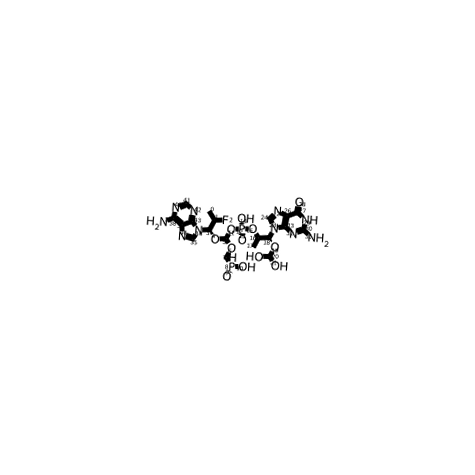 CC(F)[C@@H](OC(OC[PH](=O)O)OP(=O)(O)OC(C)[C@@H](OC(O)O)n1cnc2c(=O)[nH]c(N)nc21)n1cnc2c(N)ncnc21